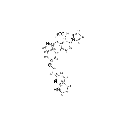 O=C(O)CC(c1cccc(-n2cccc2)c1)n1ncc2cc(OCCc3ccc4c(n3)NCCC4)ccc21